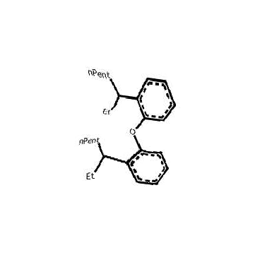 CCCCCC(CC)c1ccccc1Oc1ccccc1C(CC)CCCCC